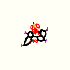 CS(=O)(=O)Oc1cc(I)cc2c(I)cc(O)c(-c3c(O)cc(I)c4cc(I)ccc34)c12